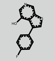 Oc1cncc2scc(-c3ccc(F)cc3)c12